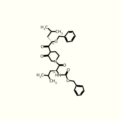 CC(C)C[C@H](NC(=O)OCc1ccccc1)C(=O)N1CCC(C(=O)[C@H](CC(C)C)OCc2ccccc2)C(=O)C1